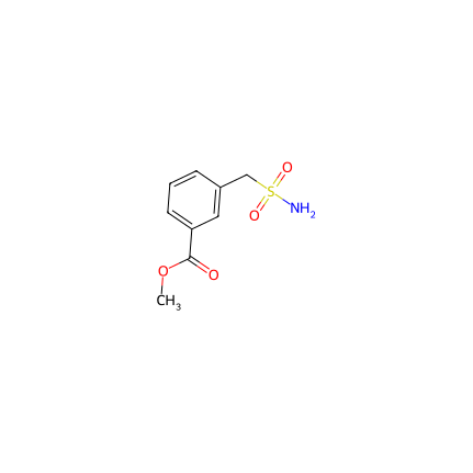 COC(=O)c1cccc(CS(N)(=O)=O)c1